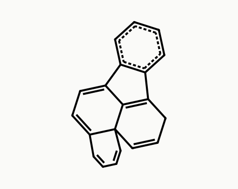 C1=CC2=CC=C3C4=C(CC=CC24C=C1)c1ccccc13